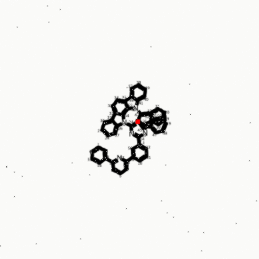 c1ccc(-c2cccc(-c3cccc(-c4nc(-c5ccccc5)nc(-n5c6ccccc6c6ccc7c8ccccc8n(-c8ccc9ccccc9c8)c7c65)n4)c3)n2)cc1